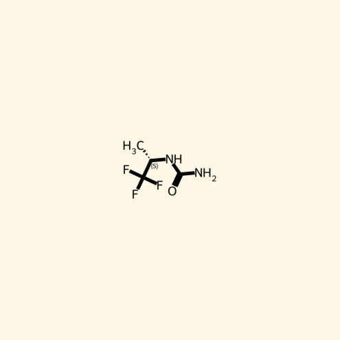 C[C@H](NC(N)=O)C(F)(F)F